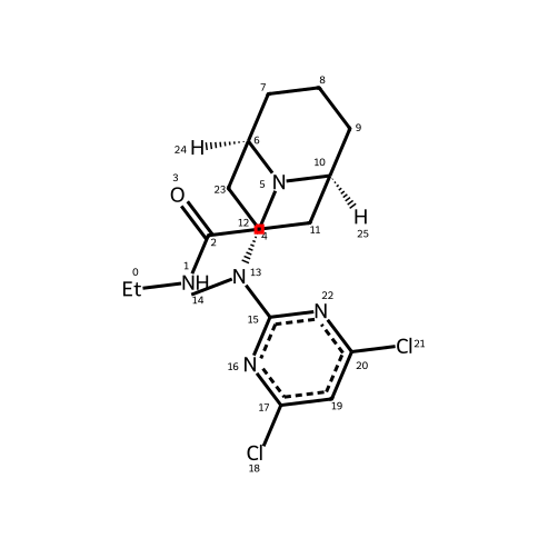 CCNC(=O)CN1[C@@H]2CCC[C@H]1C[C@H](N(C)c1nc(Cl)cc(Cl)n1)C2